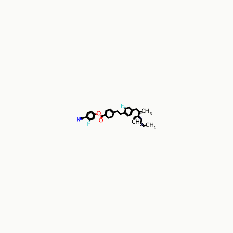 C=C/C(=C\C=C/C)[C@H](C)CC1=CC=C(CCC2=CC=C(C(=O)Oc3ccc(C#N)c(F)c3)CC2)C(F)C1